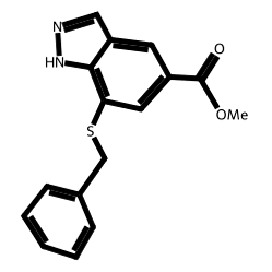 COC(=O)c1cc(SCc2ccccc2)c2[nH]ncc2c1